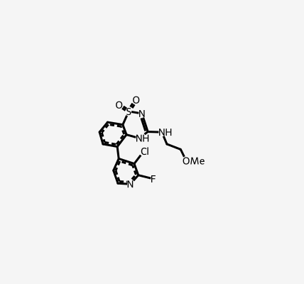 COCCNC1=NS(=O)(=O)c2cccc(-c3ccnc(F)c3Cl)c2N1